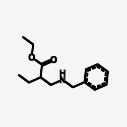 CCOC(=O)C(CC)CNCc1ccccc1